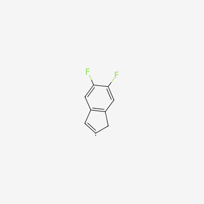 Fc1cc2c(cc1F)C[C]=C2